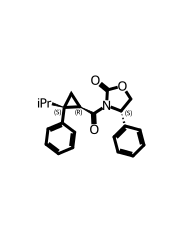 CC(C)[C@@]1(c2ccccc2)C[C@H]1C(=O)N1C(=O)OC[C@@H]1c1ccccc1